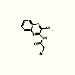 Nc1nc2ccccc2nc1NC(=O)CBr